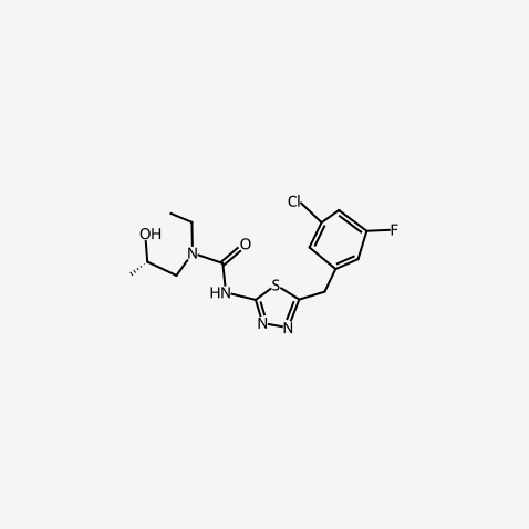 CCN(C[C@H](C)O)C(=O)Nc1nnc(Cc2cc(F)cc(Cl)c2)s1